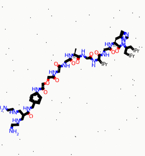 CC(C)CC(CC(C)C)NC(=O)[C@H](Cc1cnc[nH]1)NC(=O)CNC(=O)C(NC(=O)CNC(=O)[C@H](C)NC(=O)CNC(=O)CNC(=O)COCC(=O)Nc1ccc(CNC(=O)C(CNCCN)CNCCN)cc1)C(C)C